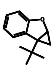 CC(C)(C)C12CC1Oc1ccccc12